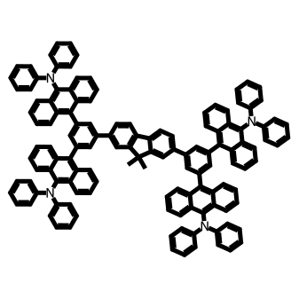 CC1(C)c2cc(-c3cc(-c4c5ccccc5c(N(c5ccccc5)c5ccccc5)c5ccccc45)cc(-c4c5ccccc5c(N(c5ccccc5)c5ccccc5)c5ccccc45)c3)ccc2-c2ccc(-c3cc(-c4c5ccccc5c(N(c5ccccc5)c5ccccc5)c5ccccc45)cc(-c4c5ccccc5c(N(c5ccccc5)c5ccccc5)c5ccccc45)c3)cc21